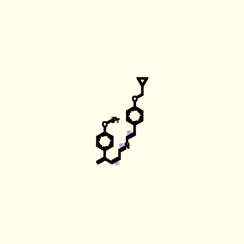 C=C(\C=C/C=N/C=C/c1ccc(OCC2CC2)cc1)c1ccc(OC(C)C)cc1